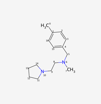 Cc1ccc(CN(C)CCN2CCCC2)cc1